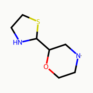 C1COC(C2NCCS2)C[N]1